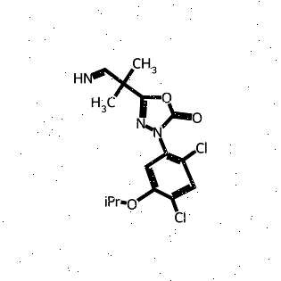 CC(C)Oc1cc(-n2nc(C(C)(C)C=N)oc2=O)c(Cl)cc1Cl